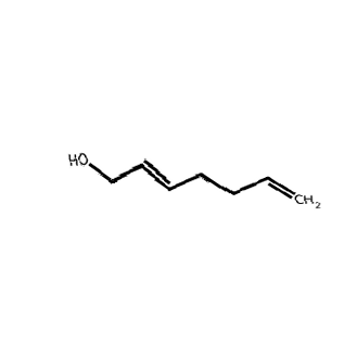 C=CCC/C=C/CO